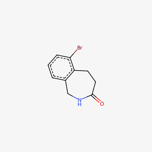 O=C1CCc2c(Br)cccc2CN1